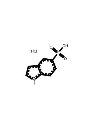 Cl.O=S(=O)(O)c1ccc2[nH]ccc2c1